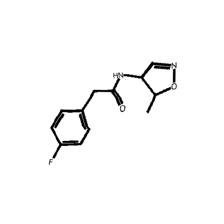 CC1ON=CC1NC(=O)Cc1ccc(F)cc1